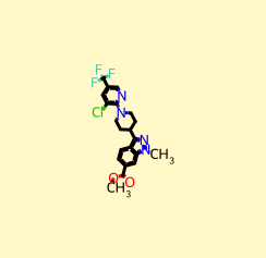 COC(=O)c1ccc2c(C3CCN(c4ncc(C(F)(F)F)cc4Cl)CC3)nn(C)c2c1